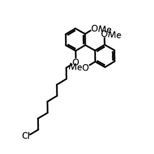 COc1cccc(OC)c1-c1c(OC)cccc1OCCCCCCCCCl